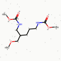 CCCCOCC(CCCNC(=O)OCCCC)CNC(=O)OCCCC